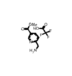 COC(=O)c1ccc(CN)nc1.O=C(O)C(F)(F)F